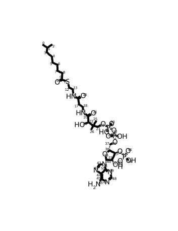 CC(C)CCCCCCC(=O)SCCNC(=O)CCNC(=O)C(O)C(C)(C)COP(=O)(O)OP(=O)(O)OC[C@H]1O[C@@H](n2cnc3c(N)ncnc32)[C@H](O)[C@@H]1OP(=O)(O)O